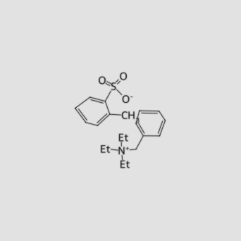 CC[N+](CC)(CC)Cc1ccccc1.Cc1ccccc1S(=O)(=O)[O-]